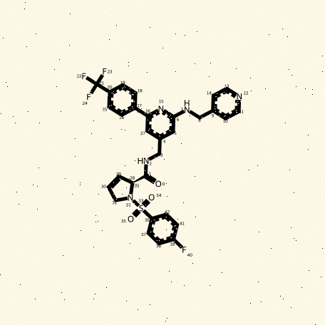 O=C(NCc1cc(NCc2ccncc2)nc(-c2ccc(C(F)(F)F)cc2)c1)[C@@H]1C=CCN1S(=O)(=O)c1ccc(F)cc1